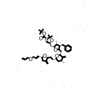 C=CCOC/C=C/[C@H]1CC(=C)C(CC[C@H]2C[C@@H](C)C(=C)[C@@H](CC3O[C@H](C[C@H]4CN(C(=O)OC(C)(C)C)C(C)(C)O4)[C@H](C)[C@H]3Cc3ccccc3)O2)O1